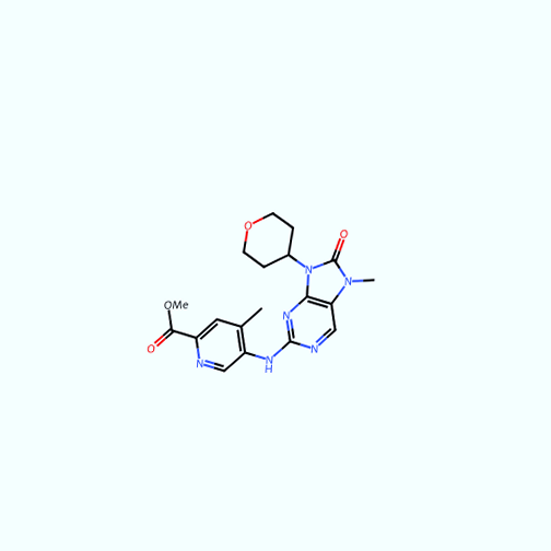 COC(=O)c1cc(C)c(Nc2ncc3c(n2)n(C2CCOCC2)c(=O)n3C)cn1